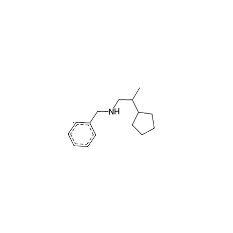 CC(CNCc1[c]cccc1)C1CCCC1